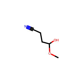 COC(O)CCC#N